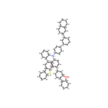 c1cc(-c2ccc(N(c3ccc(-c4ccc5c(c4)oc4ccccc45)cc3)c3ccccc3-c3ccc4sc5ccccc5c4c3)cc2)cc(-c2ccc3ccccc3c2)c1